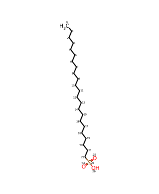 CCCCCCCCCCCCCCCCCCCCCCCS(=O)(=O)O